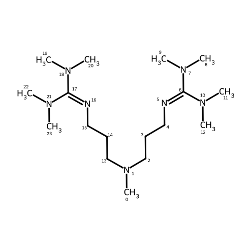 CN(CCCN=C(N(C)C)N(C)C)CCCN=C(N(C)C)N(C)C